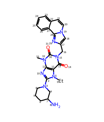 CCn1c(N2CCCC(N)C2)nc2c1c(=O)n(Cc1cn3ccc4ccccc4c3n1)c(=O)n2C